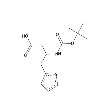 CC(C)(C)OC(=O)NC(CC(=O)O)Cc1cccs1